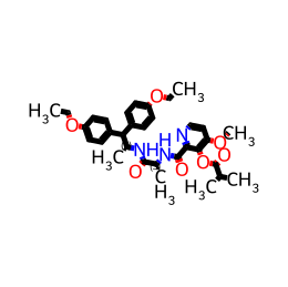 CCOc1ccc(C(c2ccc(OCC)cc2)[C@H](C)NC(=O)[C@H](C)NC(=O)c2nccc(OC)c2OC(=O)C(C)C)cc1